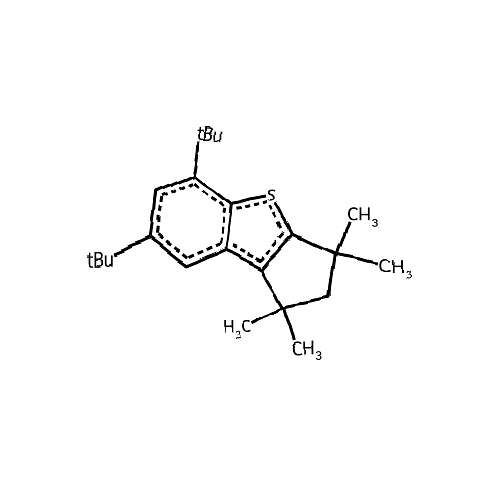 CC(C)(C)c1cc(C(C)(C)C)c2sc3c(c2c1)C(C)(C)CC3(C)C